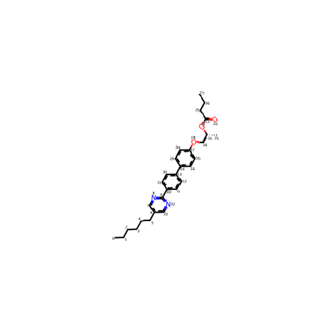 CCCCCCc1cnc(-c2ccc(-c3ccc(OC[C@@H](C)OC(=O)CCC)cc3)cc2)nc1